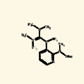 CON(C)c1ncccc1N(N)C(N(C)C)=[N+](C)C